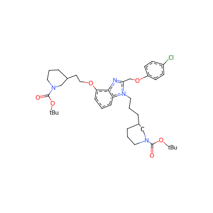 CC(C)(C)OC(=O)N1CCCC(CCCn2c(COc3ccc(Cl)cc3)nc3c(OCCC4CCCN(C(=O)OC(C)(C)C)C4)cccc32)C1